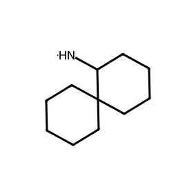 [NH]C1CCCCC12CCCCC2